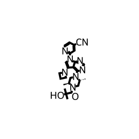 C[C@@H]1CN(C(=O)C(C)(C)O)[C@@H](C)CN1c1ncnc2c1c(N1CCC1)cn2-c1cc(C#N)ccn1